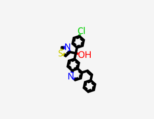 OC(c1ccc(Cl)cc1)(c1ccc2nccc(/C=C\c3ccccc3)c2c1)c1cscn1